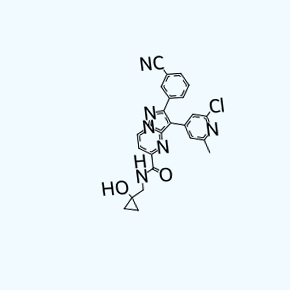 Cc1cc(-c2c(-c3cccc(C#N)c3)nn3ccc(C(=O)NCC4(O)CC4)nc23)cc(Cl)n1